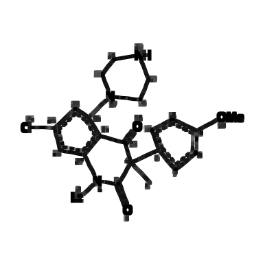 CCN1C(=O)C(C)(c2ccc(OC)cc2)C(=O)c2c(N3CCNCC3)cc(Cl)cc21